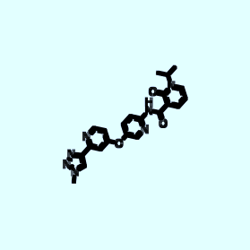 CC(C)n1cccc(C(=O)Nc2ccc(Oc3ccnc(-c4cn(C)nn4)c3)cn2)c1=O